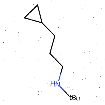 CC(C)(C)NCCCC1CC1